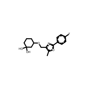 Cc1oc(-c2ccc(F)cc2)nc1COC1CCCC(O)(O)C1